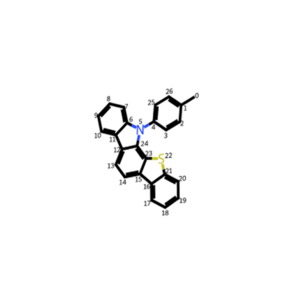 Cc1ccc(-n2c3ccccc3c3ccc4c5ccccc5sc4c32)cc1